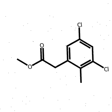 COC(=O)Cc1cc(Cl)cc(Cl)c1C